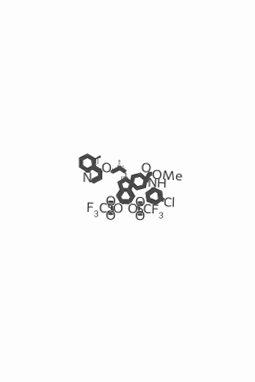 COC(=O)C1(Nc2cccc(Cl)c2)CCC2(CC1)c1cc(OS(=O)(=O)C(F)(F)F)c(OS(=O)(=O)C(F)(F)F)cc1C[C@@H]2C[C@@H](C)COc1ccnc2c1[C@H](C)CCC2